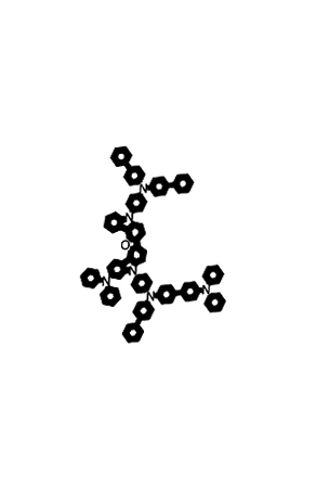 c1ccc(-c2ccc(N(c3ccc(-c4ccccc4)cc3)c3ccc(-n4c5ccccc5c5c6oc7c(ccc8c7c7ccc(N(c9ccccc9)c9ccccc9)cc7n8-c7ccc(N(c8ccc(-c9ccccc9)cc8)c8ccc(-c9ccc(N(c%10ccccc%10)c%10ccccc%10)cc9)cc8)cc7)c6ccc54)cc3)cc2)cc1